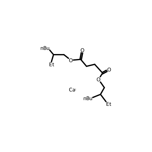 CCCCC(CC)COC(=O)CCC(=O)OCC(CC)CCCC.[Ca]